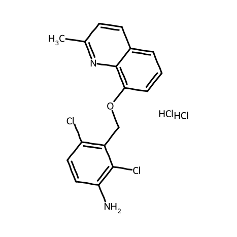 Cc1ccc2cccc(OCc3c(Cl)ccc(N)c3Cl)c2n1.Cl.Cl